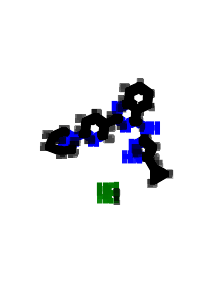 Cl.Cl.c1ccc2c(Nc3cc(C4CC4)[nH]n3)nc(-c3ccc(N4CC5CC(C4)N5)nc3)nc2c1